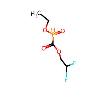 CCO[PH](=O)C(=O)OCC(F)F